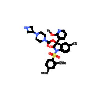 CCOc1ncccc1C1(OC(=O)N2CCN(C3CNC3)CC2)C(=O)N(S(=O)(=O)c2ccc(OC)cc2OC)c2ccc(C#N)cc21